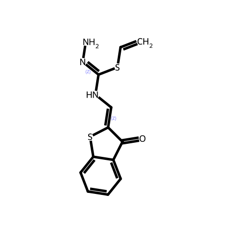 C=CS/C(=N\N)N/C=C1\Sc2ccccc2C1=O